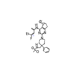 C=C(/C=C(/F)CC)Nc1nc(N2CCC(CNS(C)(=O)=O)(c3ccccc3)CC2)nc2c1[S+]([O-])CC2